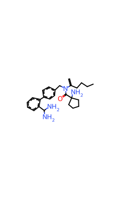 C=C(CCCC)N(Cc1ccc(-c2ccccc2C(N)N)cc1)C(=O)C1(N)CCCC1